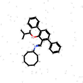 CC(C)C(C)Oc1c(-c2ccccc2)ccc(-c2ccccc2)c1/C=N/C1CCCCCCC1